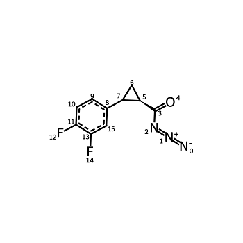 [N-]=[N+]=NC(=O)[C@@H]1CC1c1ccc(F)c(F)c1